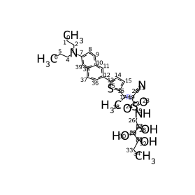 CCCN(CCC)c1ccc2cc(-c3ccc(/C(C)=C(\C#N)S(=O)(=O)NC[C@@H](O)[C@@H](O)[C@H](O)CC)s3)ccc2c1